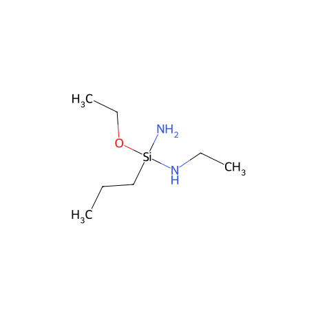 CCC[Si](N)(NCC)OCC